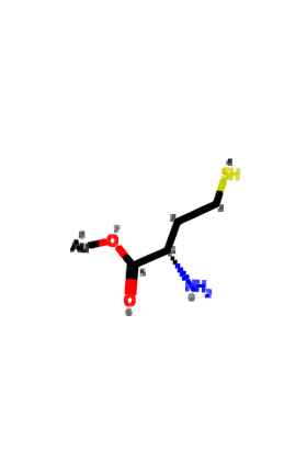 N[C@@H](CCS)C(=O)[O][Au]